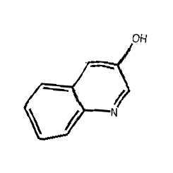 Oc1[c]c2ccccc2nc1